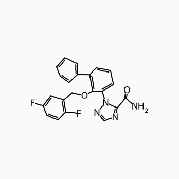 NC(=O)c1ncnn1-c1cccc(-c2ccccc2)c1OCc1cc(F)ccc1F